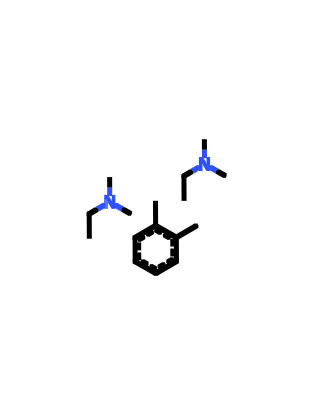 CCN(C)C.CCN(C)C.Cc1ccccc1C